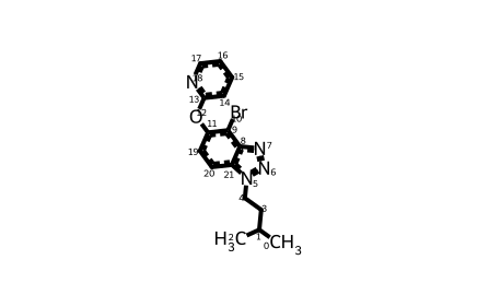 CC(C)CCn1nnc2c(Br)c(Oc3ccccn3)ccc21